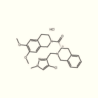 COc1cc2c(cc1OC)CN(C(=O)[C@@H]1Cc3ccccc3CN1Cc1nn(C)cc1Cl)CC2.Cl